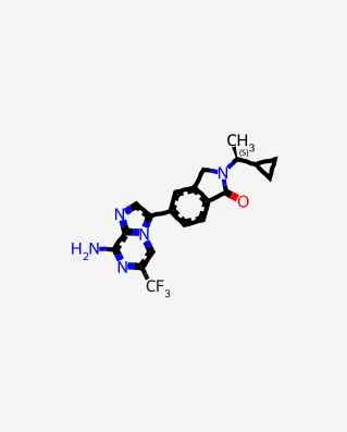 C[C@@H](C1CC1)N1Cc2cc(-c3cnc4c(N)nc(C(F)(F)F)cn34)ccc2C1=O